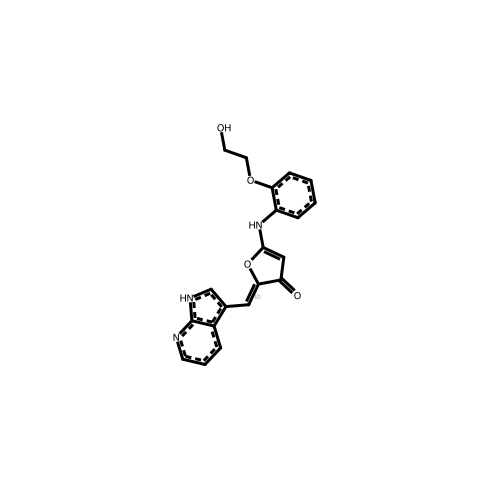 O=C1C=C(Nc2ccccc2OCCO)O/C1=C\c1c[nH]c2ncccc12